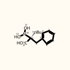 CCCC[C@](Cc1ccccc1)(C(=O)O)N(O)O